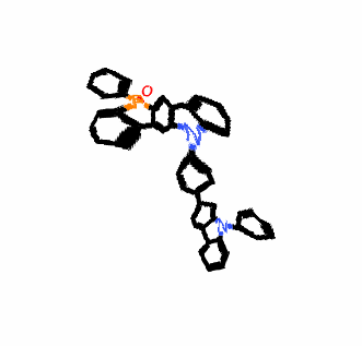 O=P1(c2ccccc2)c2ccccc2-c2cc3c(cc21)c1ccccc1n3-c1ccc(-c2ccc3c4ccccc4n(-c4ccccc4)c3c2)cc1